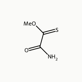 COC(=S)C(N)=O